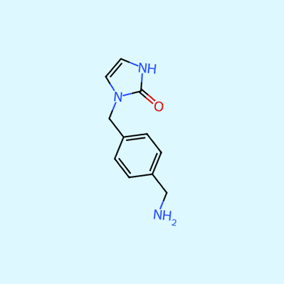 NCc1ccc(Cn2cc[nH]c2=O)cc1